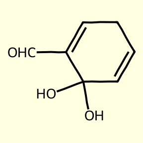 O=CC1=CCC=CC1(O)O